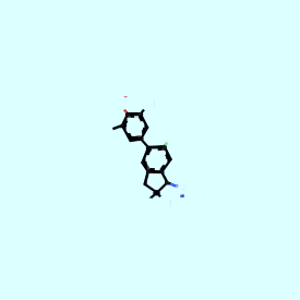 CCOc1c(C)cc(-c2cc3c(cc2F)C(NC(=O)O)C(C)(C)C3)cc1C